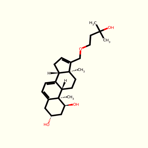 CC(C)(O)CCOCC1=CC[C@H]2C3=CC=C4C[C@@H](O)C[C@H](O)[C@]4(C)[C@H]3CC[C@]12C